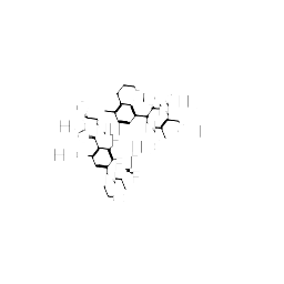 CCc1nc(-c2ccc(C[C@H](NC(=O)c3c(C)cc(N4CCOC[C@@H]4C(F)(F)F)cc3F)C(=O)O)c3c2OCCC3)c(=O)n(C)c1CC